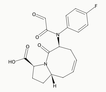 O=CC(=O)N(c1ccc(F)cc1)[C@H]1CC=CC[C@@H]2CC[C@@H](C(=O)O)N2C1=O